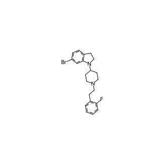 Fc1ccccc1CCN1CCC(N2CCc3ccc(Br)cc32)CC1